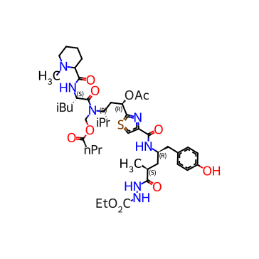 CCCC(=O)OCN(C(=O)[C@@H](NC(=O)C1CCCCN1C)C(C)CC)[C@H](C[C@@H](OC(C)=O)c1nc(C(=O)N[C@@H](Cc2ccc(O)cc2)C[C@H](C)C(=O)NNC(=O)OCC)cs1)C(C)C